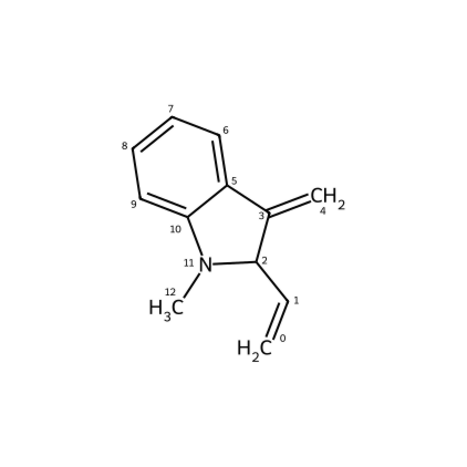 C=CC1C(=C)c2ccccc2N1C